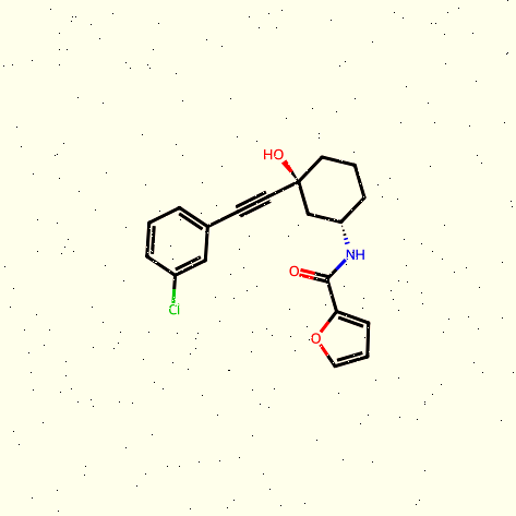 O=C(N[C@H]1CCC[C@@](O)(C#Cc2cccc(Cl)c2)C1)c1ccco1